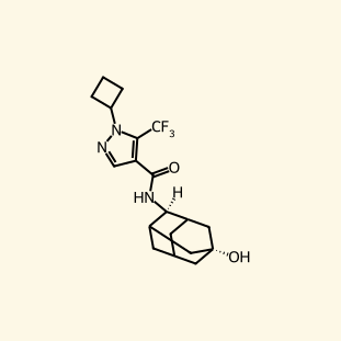 O=C(N[C@H]1C2CC3CC1C[C@](O)(C3)C2)c1cnn(C2CCC2)c1C(F)(F)F